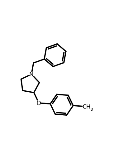 Cc1ccc(OC2CCN(Cc3ccccc3)C2)cc1